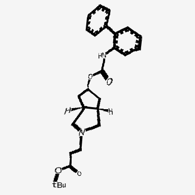 CC(C)(C)OC(=O)CCN1C[C@H]2C[C@H](OC(=O)Nc3ccccc3-c3ccccc3)C[C@H]2C1